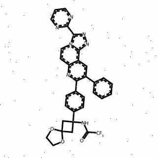 O=C(NC1(c2ccc(-c3nc4ccn5c(-c6ncccn6)nnc5c4cc3-c3ccccc3)cc2)CC2(C1)OCCO2)C(F)(F)F